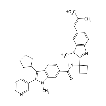 C/C(=C\c1ccc2nc(C3(NC(=O)c4ccc5c(C6CCCC6)c(-c6cccnc6)n(C)c5c4)CCC3)n(C)c2c1)C(=O)O